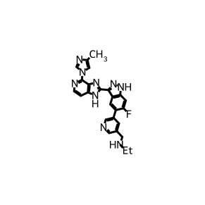 CCNCc1cncc(-c2cc3c(-c4nc5c(-n6cnc(C)c6)nccc5[nH]4)n[nH]c3cc2F)c1